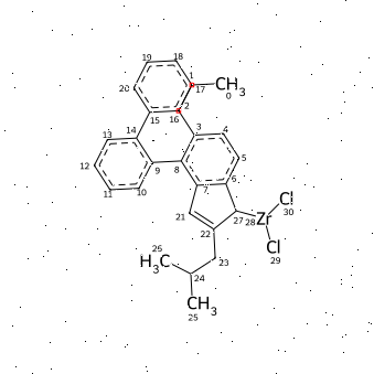 CCCc1ccc2c(c1-c1ccccc1-c1ccccc1)C=C(CC(C)C)[CH]2[Zr]([Cl])[Cl]